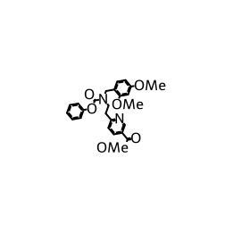 COC(=O)c1ccc(CCN(Cc2ccc(OC)cc2OC)C(=O)Oc2ccccc2)nc1